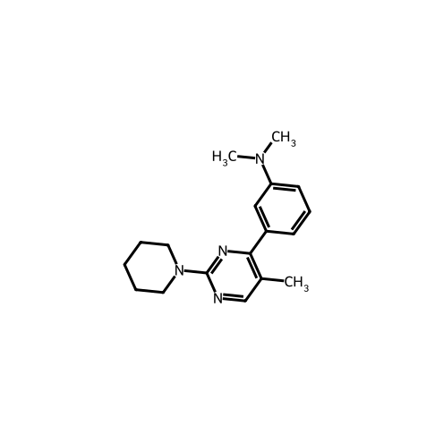 Cc1cnc(N2CCCCC2)nc1-c1cccc(N(C)C)c1